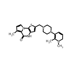 CC1=C(N2CCN(Cc3cc4[nH]c(=O)c5c(C)ccn5c4s3)CC2)C=CCN1C